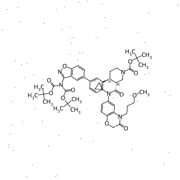 COCCCN1C(=O)COc2ccc(N(C(=O)[C@H]3CN(C(=O)OC(C)(C)C)CC[C@@H]3c3cccc(-c4ccc5onc(N(C(=O)OC(C)(C)C)C(=O)OC(C)(C)C)c5c4)c3)C3CC3)cc21